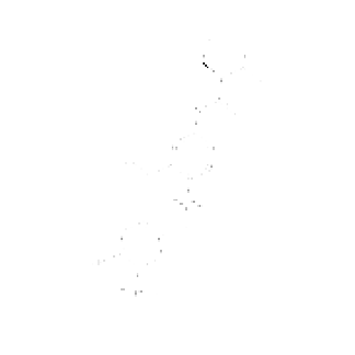 CCOc1cc(NC(=O)[C@@H](CO)C(C)C)ccc1S(=O)(=O)Nc1ccc(Cl)c(C(F)(F)F)c1